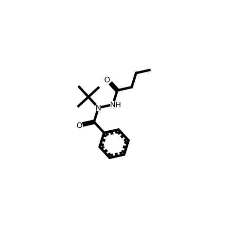 CCCC(=O)NN(C(=O)c1ccccc1)C(C)(C)C